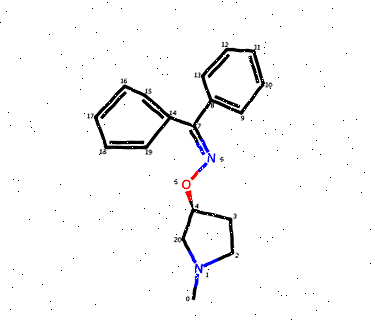 CN1CC[C@H](ON=C(c2ccccc2)c2ccccc2)C1